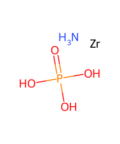 N.O=P(O)(O)O.[Zr]